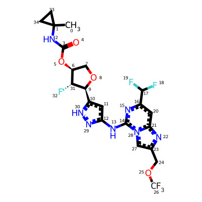 CC1(NC(=O)O[C@H]2CO[C@@H](c3cc(Nc4nc(C(F)F)cc5nc(COC(F)(F)F)cn45)n[nH]3)[C@@H]2F)CC1